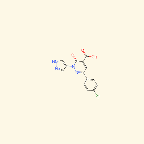 O=C(O)c1cc(-c2ccc(Cl)cc2)nn(-c2cn[nH]c2)c1=O